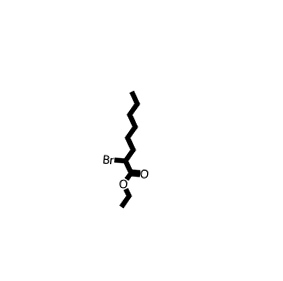 CCCCCCC(Br)C(=O)OCC